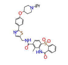 Cc1c(C(=O)NCc2cnc(-c3ccc(OC4CCN(C(C)C)CC4)cc3)s2)ccc2c1NC(=O)c1ccccc1S2(=O)=O